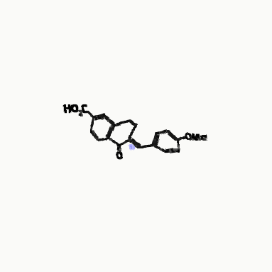 COc1ccc(/C=C2\CCc3cc(C(=O)O)ccc3C2=O)cc1